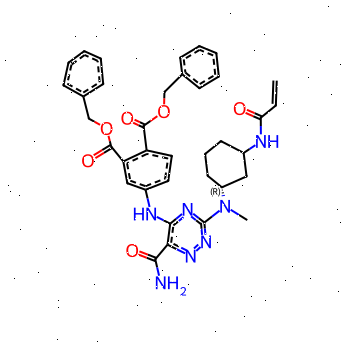 C=CC(=O)NC1CCC[C@@H](N(C)c2nnc(C(N)=O)c(Nc3ccc(C(=O)OCc4ccccc4)c(C(=O)OCc4ccccc4)c3)n2)C1